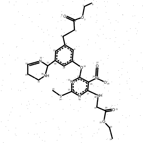 CCOC(=O)CCc1cc(Oc2nc(SC)nc(NCC(=O)OCC)c2[N+](=O)[O-])cc(C2N=CCCN2)c1